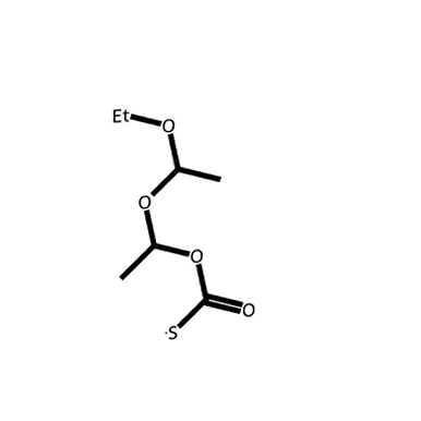 CCOC(C)OC(C)OC(=O)[S]